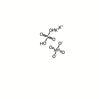 O=S(=O)(O)O.[K+].[K+].[O]=[Mn](=[O])([O-])[O-]